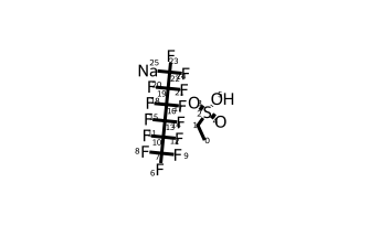 CCS(=O)(=O)O.FC(F)(F)C(F)(F)C(F)(F)C(F)(F)C(F)(F)[C](F)(F)[Na]